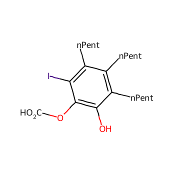 CCCCCc1c(O)c(OC(=O)O)c(I)c(CCCCC)c1CCCCC